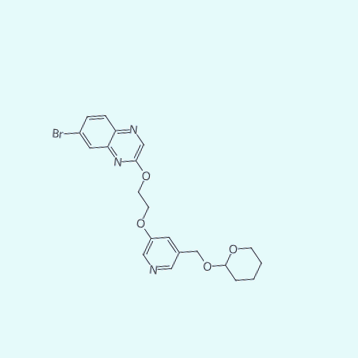 Brc1ccc2ncc(OCCOc3cncc(COC4CCCCO4)c3)nc2c1